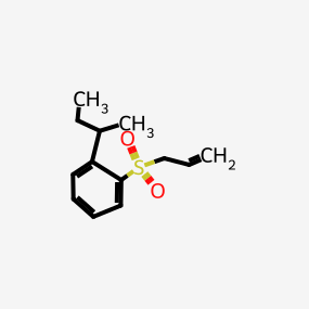 C=CCS(=O)(=O)c1ccccc1C(C)CC